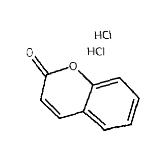 Cl.Cl.O=c1ccc2ccccc2o1